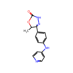 CC1OC(=O)NN=C1c1ccc(Nc2ccncc2)cc1